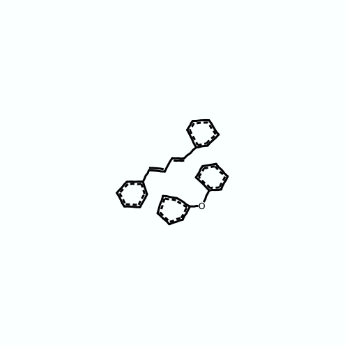 C(/C=C/c1ccccc1)=C\c1ccccc1.c1ccc(Oc2ccccc2)cc1